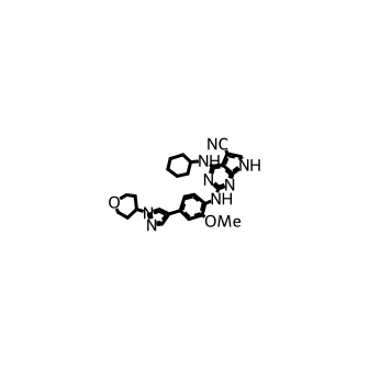 COc1cc(-c2cnn(C3CCOCC3)c2)ccc1Nc1nc(NC2CCCCC2)c2c(C#N)c[nH]c2n1